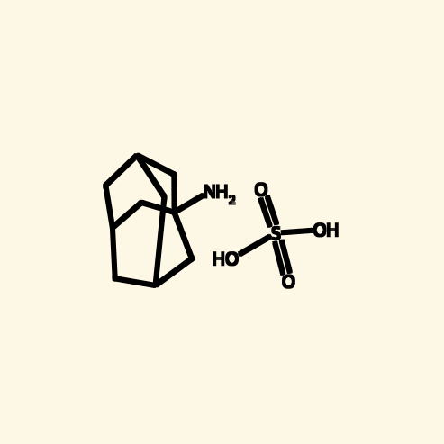 NC12CC3CC(CC(C3)C1)C2.O=S(=O)(O)O